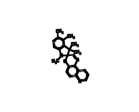 Cc1ccc2c(c1C)C(C)(C)C1(C=Nc3c(ccc4ncccc34)O1)N2C